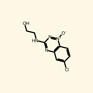 [O-][n+]1nc(NCCO)nc2cc(Cl)ccc21